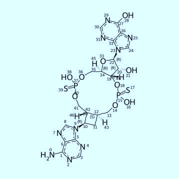 Nc1ncnc2c1ncn2[C@@H]1C[C@@H]2COP(O)(=S)O[C@H]3[C@@H](O)[C@H](n4cnc5c(O)ncnc54)O[C@@H]3COP(O)(=S)OC[C@H]21